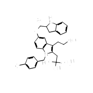 CC(=O)[C@@H](Oc1ccc2c(c1)c(CCC(C)(C)C)c(CC(C)(C)C(=O)O)n2Cc1ccc(Cl)cc1)C1Cc2ccccc2N1